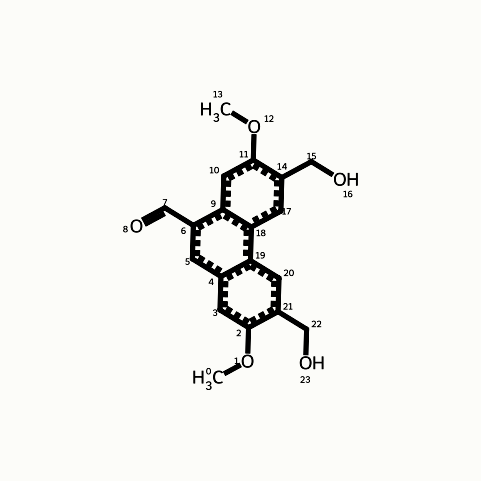 COc1cc2cc(C=O)c3cc(OC)c(CO)cc3c2cc1CO